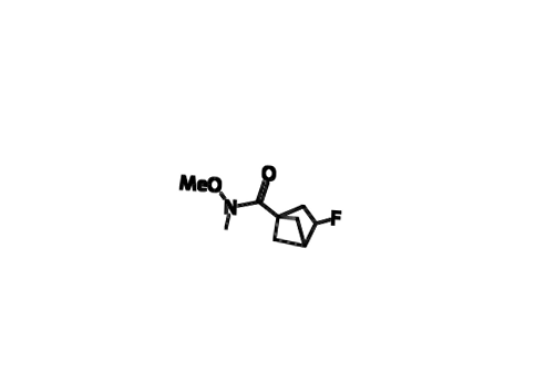 CON(C)C(=O)C12CC(F)C(C1)C2